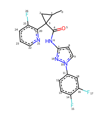 CC1CC1(C(=O)Nc1ccn(-c2ccc(F)c(F)c2)n1)c1ncccc1F